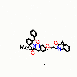 COC(=O)[C@H](Cc1ccc(OCCCN(Cc2ccccc2)C(=O)C2CC2)cc1)Nc1ccccc1C(=O)c1ccccc1